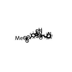 COC(=O)OCC1CCc2c(sc(NC(=O)/C=C/c3cccnc3)c2C#N)C1